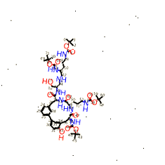 CC(C)(C)OC(=O)NCCC[C@@H](CNC[C@H](CO)NC(=O)[C@@H]1Cc2cccc(c2)-c2ccc(O)c(c2)C[C@H](NC(=O)OC(C)(C)C)C(=O)N[C@@H](CCCNC(=O)OC(C)(C)C)C(=O)N1)NC(=O)OC(C)(C)C